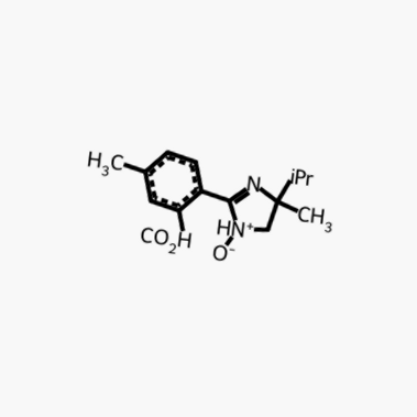 Cc1ccc(C2=NC(C)(C(C)C)C[NH+]2[O-])c(C(=O)O)c1